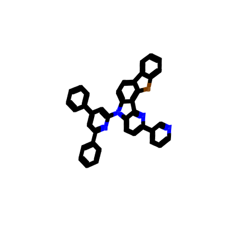 c1ccc(-c2cc(-c3ccccc3)nc(-n3c4ccc(-c5cccnc5)nc4c4c5sc6ccccc6c5ccc43)c2)cc1